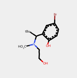 CC(C)(C)C(c1cc(Br)ccc1O)N(CCO)C(=O)O